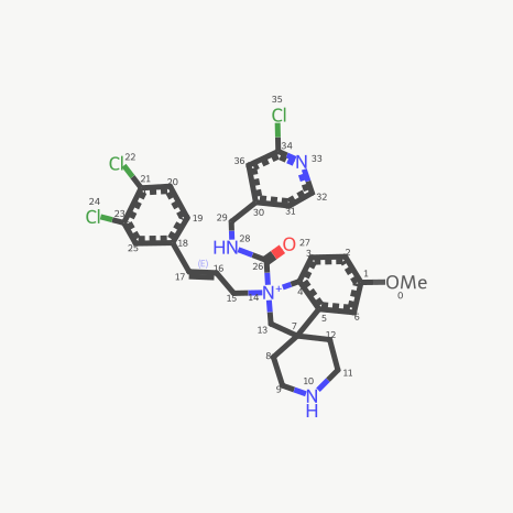 COc1ccc2c(c1)C1(CCNCC1)C[N+]2(C/C=C/c1ccc(Cl)c(Cl)c1)C(=O)NCc1ccnc(Cl)c1